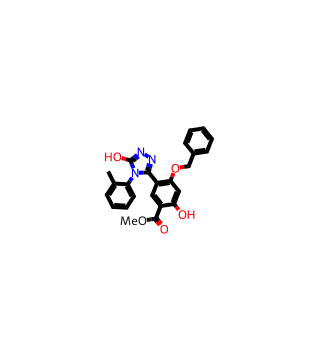 COC(=O)c1cc(-c2nnc(O)n2-c2ccccc2C)c(OCc2ccccc2)cc1O